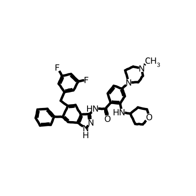 CN1CCN(c2ccc(C(=O)Nc3n[nH]c4cc(-c5ccccc5)c(Cc5cc(F)cc(F)c5)cc34)c(NC3CCOCC3)c2)CC1